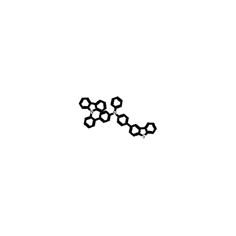 c1ccc(N(c2ccc(-c3ccc4sc5ccccc5c4c3)cc2)c2ccc(-c3ccccc3-n3c4ccccc4c4ccccc43)cc2)cc1